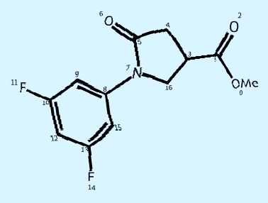 COC(=O)C1CC(=O)N(c2cc(F)cc(F)c2)C1